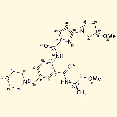 COC[C@@H](C)NC(=O)c1cc(CN2CCOCC2)ccc1NC(=O)c1csc(N2CC[C@H](OC)C2)n1